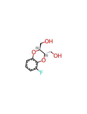 OC[C@@H]1Oc2cccc(F)c2O[C@H]1CO